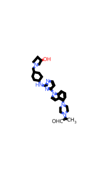 CC(C=O)N1CCN(c2cccc3c2ccn3-c2ccnc(NC3CCC(CN4CCC(O)C4)CC3)n2)CC1